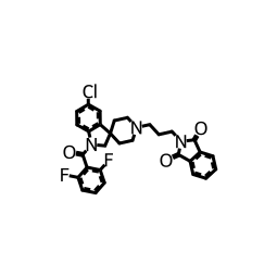 O=C1c2ccccc2C(=O)N1CCCN1CCC2(CC1)CN(C(=O)c1c(F)cccc1F)c1ccc(Cl)cc12